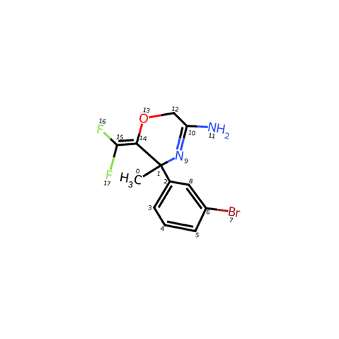 CC1(c2cccc(Br)c2)N=C(N)COC1=C(F)F